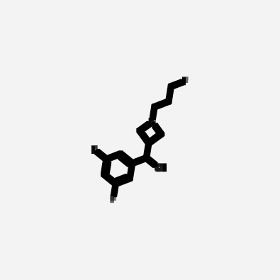 N#CC(c1cc(F)cc(F)c1)C1CN(CCCF)C1